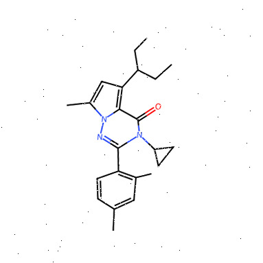 CCC(CC)c1cc(C)n2nc(-c3ccc(C)cc3C)n(C3CC3)c(=O)c12